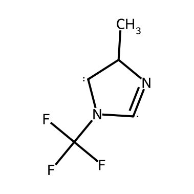 CC1[C]N(C(F)(F)F)[C]=N1